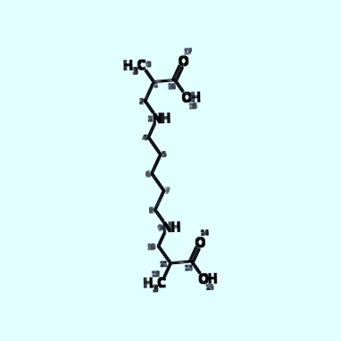 CC(CNCCCCCNCC(C)C(=O)O)C(=O)O